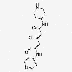 O=C/C(=C\C(Cl)=C\C(=O)NC1CCNCC1)Nc1ccncn1